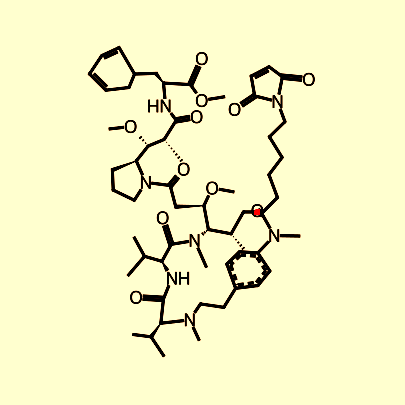 CC[C@H](C)[C@@H]([C@@H](CC(=O)N1CCC[C@H]1[C@H](OC)[C@@H](C)C(=O)N[C@@H](CC1C=CC=CC1)C(=O)OC)OC)N(C)C(=O)[C@@H](NC(=O)[C@H](C(C)C)N(C)CCc1ccc(N(C)C(=O)CCCCCN2C(=O)C=CC2=O)cc1)C(C)C